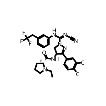 CCN1CCC[C@@H]1C(=O)NC1CN(C(=NC#N)Nc2cccc(CC(F)(F)F)c2)N=C1c1ccc(Cl)c(Cl)c1